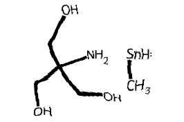 NC(CO)(CO)CO.[CH3][SnH]